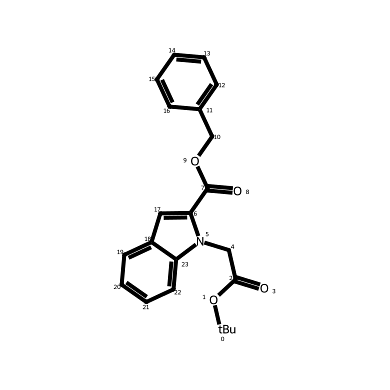 CC(C)(C)OC(=O)Cn1c(C(=O)OCc2ccccc2)cc2ccccc21